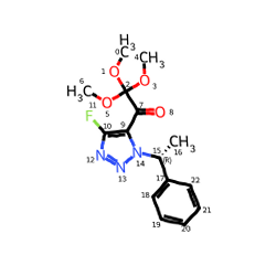 COC(OC)(OC)C(=O)c1c(F)nnn1[C@H](C)c1ccccc1